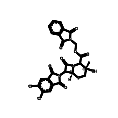 C[C@@]1(O)CS[C@H]2C(N3C(=O)c4cc(Cl)c(Cl)cc4C3=O)C(=O)N2C1C(=O)OCN1C(=O)c2ccccc2C1=O